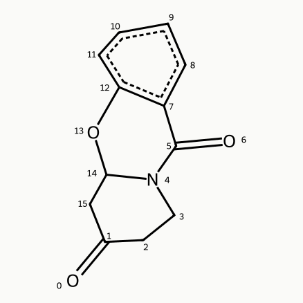 O=C1CCN2C(=O)c3ccccc3OC2C1